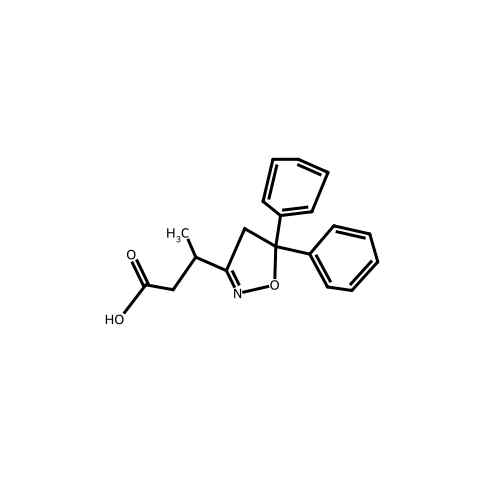 CC(CC(=O)O)C1=NOC(c2ccccc2)(c2ccccc2)C1